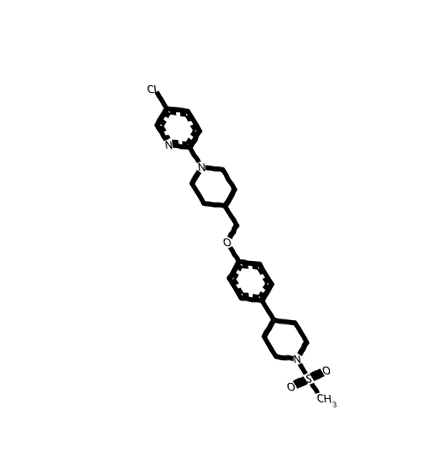 CS(=O)(=O)N1CCC(c2ccc(OCC3CCN(c4ccc(Cl)cn4)CC3)cc2)CC1